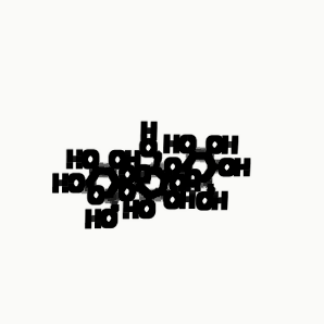 OC[C@@H]1O[C@H](O[C@@]2(O)[C@H](CO)O[C@H](O[C@@]3(O)[C@H](CO)O[C@H](O)[C@@H](O)[C@@H]3O)[C@@H](O)[C@@H]2O)[C@@H](O)[C@H](O)[C@H]1O